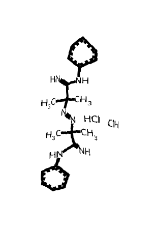 CC(C)(N=NC(C)(C)C(=N)Nc1ccccc1)C(=N)Nc1ccccc1.Cl.Cl